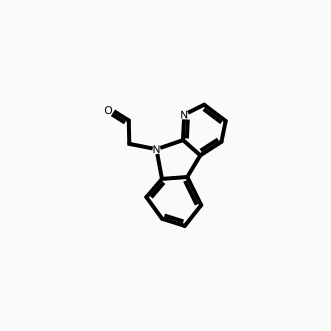 O=CCn1c2ccccc2c2cccnc21